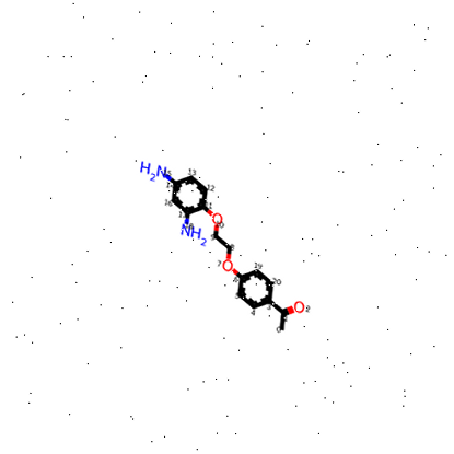 CC(=O)c1ccc(OCCOc2ccc(N)cc2N)cc1